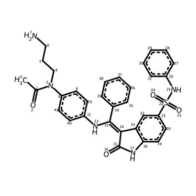 CC(=O)N(CCCN)c1ccc(N/C(=C2\C(=O)Nc3ccc(S(=O)(=O)Nc4ccccc4)cc32)c2ccccc2)cc1